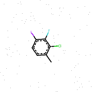 Cc1ccc(I)c(F)c1Cl